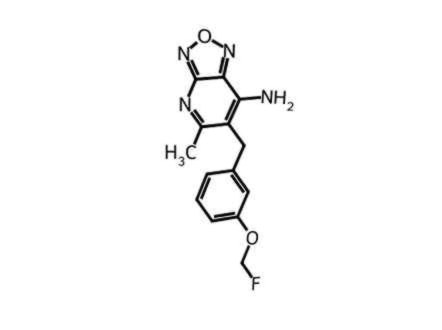 Cc1nc2nonc2c(N)c1Cc1cccc(OCF)c1